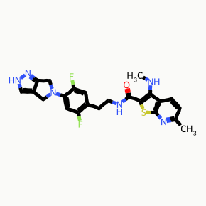 CNc1c(C(=O)NCCc2cc(F)c(N3Cc4c[nH]nc4C3)cc2F)sc2nc(C)ccc12